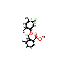 COC(=O)c1cccc(C)c1COc1cc(F)c(C)cc1C